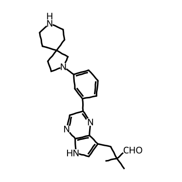 CC(C)(C=O)Cc1c[nH]c2ncc(-c3cccc(N4CCC5(CCNCC5)C4)c3)nc12